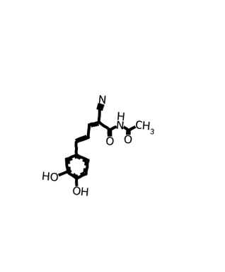 CC(=O)NC(=O)C(C#N)=CC=Cc1ccc(O)c(O)c1